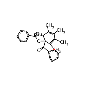 CCCCC1C(C)=C(C)C(C)=C(C)C1(OC(=O)c1ccccc1)C(=O)c1ccccc1